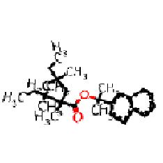 CCC(C)(C)CC(C)(C(=O)OC(C)(C)c1ccc2ccccc2c1)C(C)(C)CC